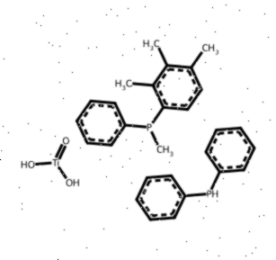 Cc1ccc(P(C)c2ccccc2)c(C)c1C.[O]=[Ti]([OH])[OH].c1ccc(Pc2ccccc2)cc1